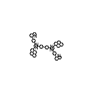 c1cnc2c(-c3ccc(-c4cc(-c5ccc6ccc7cccc8ccc5c6c78)nc(-c5ccc(-c6ccc(-c7nc(-c8ccc(-c9cccc%10cccnc9%10)cc8)cc(-c8ccc9ccc%10cccc%11ccc8c9c%10%11)n7)cc6)cc5)n4)cc3)cccc2c1